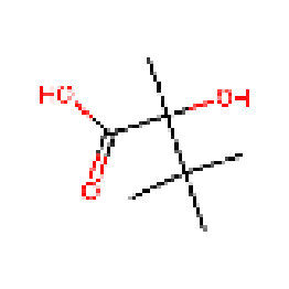 CC(C)(C)C(C)(O)C(=O)O